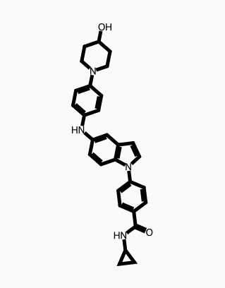 O=C(NC1CC1)c1ccc(-n2ccc3cc(Nc4ccc(N5CCC(O)CC5)cc4)ccc32)cc1